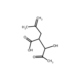 C=C(C)CC(C(=O)O)C(O)C(C)=O